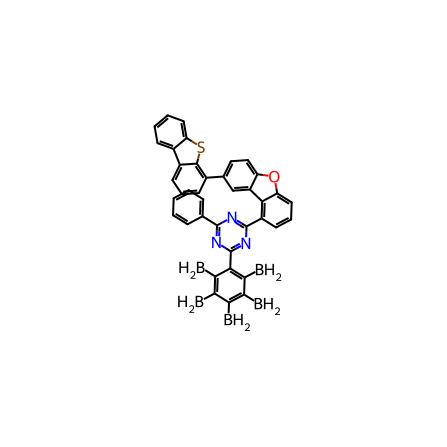 Bc1c(B)c(B)c(-c2nc(-c3ccccc3)nc(-c3cccc4oc5ccc(-c6cccc7c6sc6ccccc67)cc5c34)n2)c(B)c1B